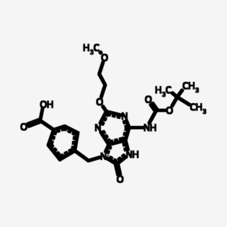 COCCOc1nc(NC(=O)OC(C)(C)C)c2[nH]c(=O)n(Cc3ccc(C(=O)O)cc3)c2n1